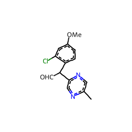 COc1ccc(C(C=O)c2cnc(C)cn2)c(Cl)c1